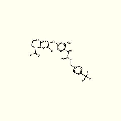 O=C([O-])C1CCOc2cc(Oc3ccc(C(=O)N(Cl)CCc4ccc(C(F)(F)F)cc4)cc3)c(Cl)cc21.[Na+]